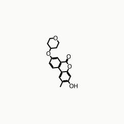 Cc1cc2c(cc1O)oc(=O)c1cc(OC3CCOCC3)ccc12